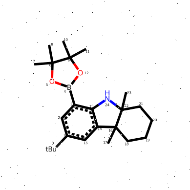 CC(C)(C)c1cc(B2OC(C)(C)C(C)(C)O2)c2c(c1)C1(C)CCCCC1(C)N2